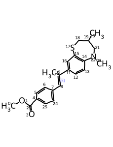 COC(=O)c1ccc(/C=C(\C)c2ccc3c(c2)SCC(C)CN3C)cc1